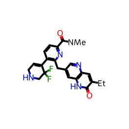 CCc1cc2ncc(Cc3nc(C(=O)NC)ccc3C3=CCNCC3(F)F)cc2[nH]c1=O